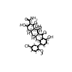 COc1ccc(Cl)cc1-c1ccc(O)c2c1C[C@H]1C[C@H]3CC(O)=C(C(N)=O)C(=O)[C@@]3(O)C(O)=C1C2=O